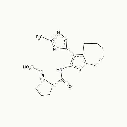 O=C(O)O[C@@H]1CCCN1C(=O)Nc1sc2c(c1-c1nc(C(F)(F)F)no1)CCCCC2